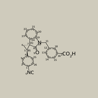 [C-]#[N+]c1ccc([C@H]2C[C@]23C(=O)N(Cc2cccc(C(=O)O)c2)c2ccccc23)cc1